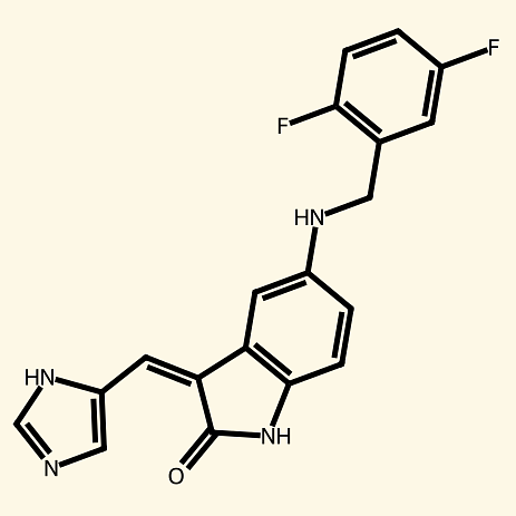 O=C1Nc2ccc(NCc3cc(F)ccc3F)cc2/C1=C/c1cnc[nH]1